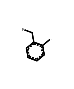 [CH2]c1ccccc1CF